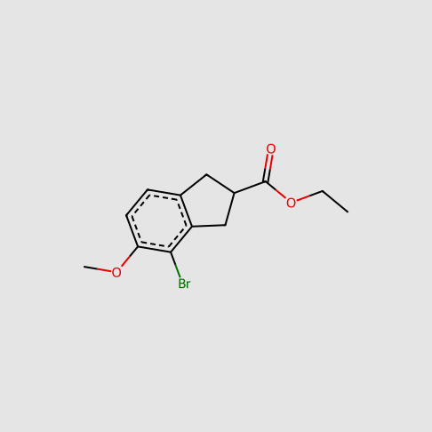 CCOC(=O)C1Cc2ccc(OC)c(Br)c2C1